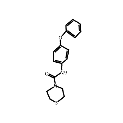 O=C(Nc1ccc(Oc2ccccc2)cc1)N1CCSCC1